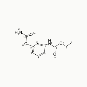 CCOC(=O)Nc1cccc(OC(N)=O)c1